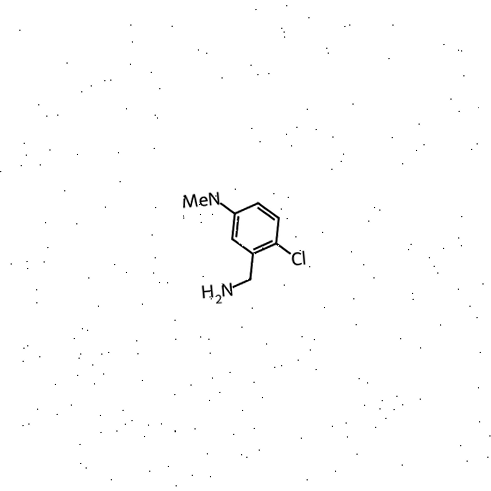 CNc1ccc(Cl)c(CN)c1